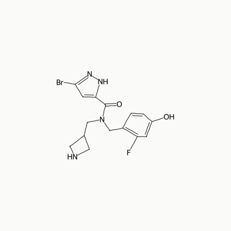 O=C(c1cc(Br)n[nH]1)N(Cc1ccc(O)cc1F)CC1CNC1